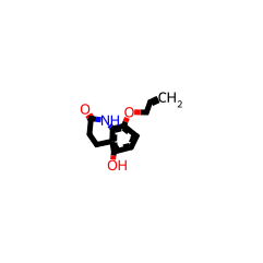 C=CCOc1ccc(O)c2c1NC(=O)CC2